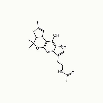 CC(=O)NCCc1c[nH]c2c(O)c3c(cc12)OC(C)(C)C1CC(C)=CC31